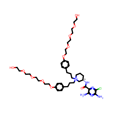 Nc1nc(N)c(C(=O)N[C@H]2CCC[N+](CCCc3ccc(OCCOCCOCCOCCO)cc3)(CCCc3ccc(OCCOCCOCCOCCO)cc3)C2)nc1Cl